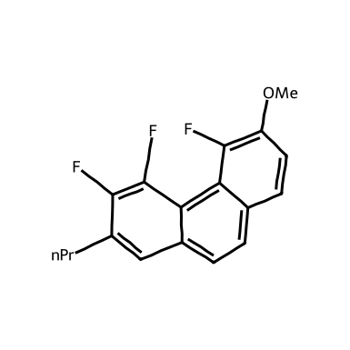 CCCc1cc2ccc3ccc(OC)c(F)c3c2c(F)c1F